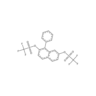 O=S(=O)(Oc1ccc2ccc(OS(=O)(=O)C(F)(F)F)c(-c3ccccc3)c2c1)C(F)(F)F